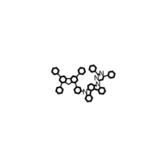 c1ccc(-c2cc(-c3ccccc3)c3c(c2)-c2cc(-c4ccccc4)cc(-c4cccc(-n5c6ccccc6c6c7c8ccccc8n(-c8cc(-c9ccccc9)nc(-c9ccccc9)n8)c7ccc65)c4)c2C3)cc1